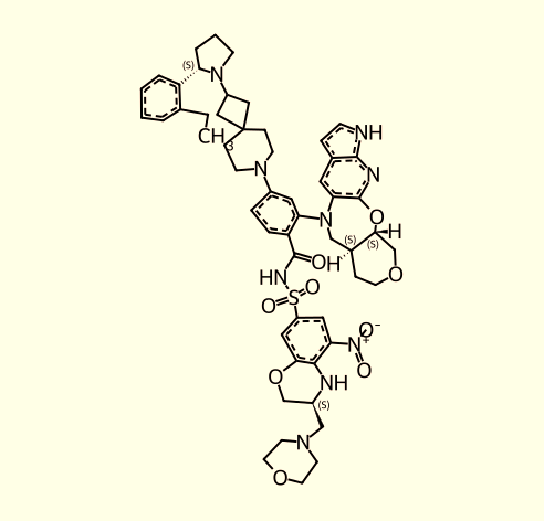 CCc1ccccc1[C@@H]1CCCN1C1CC2(CCN(c3ccc(C(=O)NS(=O)(=O)c4cc5c(c([N+](=O)[O-])c4)N[C@@H](CN4CCOCC4)CO5)c(N4C[C@@H]5CCOC[C@H]5Oc5nc6[nH]ccc6cc54)c3)CC2)C1